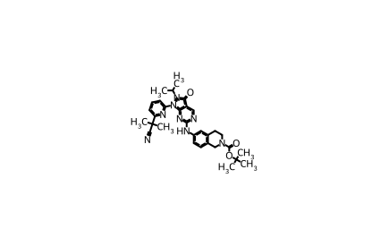 CC(C)n1c(=O)c2cnc(Nc3ccc4c(c3)CCN(C(=O)OC(C)(C)C)C4)nc2n1-c1cccc(C(C)(C)C#N)n1